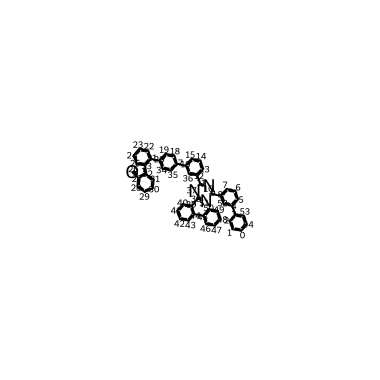 c1ccc(-c2cccc(-c3nc(-c4cccc(-c5ccc(-c6cccc7oc8ccccc8c67)cc5)c4)nc(-c4ccccc4-c4ccccc4)n3)c2)cc1